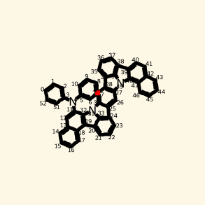 c1ccc(N(c2ccccc2)c2cc3ccccc3c3c4cccc5c6cc7c(cc6n(c23)c54)c2cccc3c4ccc5ccccc5c4n7c23)cc1